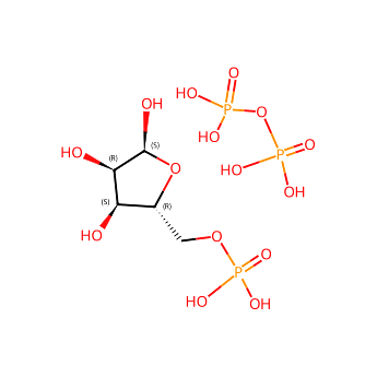 O=P(O)(O)OC[C@H]1O[C@H](O)[C@H](O)[C@@H]1O.O=P(O)(O)OP(=O)(O)O